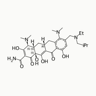 CCN(Cc1cc(O)c2c(c1N(C)C)C[C@H]1C[C@H]3[C@H](N(C)C)C(O)=C(C(N)=O)C(=O)[C@@]3(O)C(O)=C1C2=O)CC(C)C